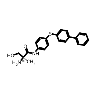 C[C@](N)(CO)C(=O)Nc1ccc(Sc2ccc(-c3ccccc3)cc2)cc1